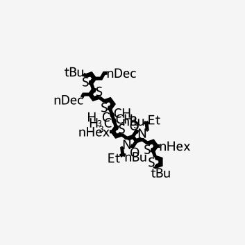 CCCCCCCCCCCCc1cc(C(C)(C)C)sc1-c1sc(-c2ccc(C(C)(C)C(C)(C)c3sc(C4=C5C(=O)N(CC(CC)CCCC)C(c6cc(CCCCCC)c(-c7ccc(C(C)(C)C)s7)s6)=C5C(=O)N4CC(CC)CCCC)cc3CCCCCC)s2)cc1CCCCCCCCCCC